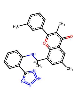 Cc1cccc(-c2oc3c([C@@H](C)Nc4ccccc4-c4nn[nH]n4)cc(C)cc3c(=O)c2C)c1